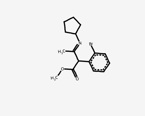 COC(=O)C(C(C)=NC1CCCC1)c1ccccc1Br